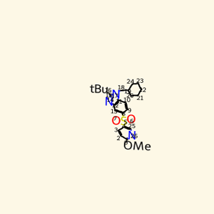 COc1ccc(S(=O)(=O)c2ccc3c(c2)nc(C(C)(C)C)n3CC2CCCCC2)cn1